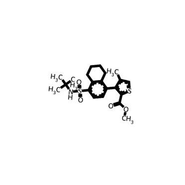 COC(=O)c1scc(C)c1-c1ccc(S(=O)(=O)NC(C)(C)C)c2c1CCCC2